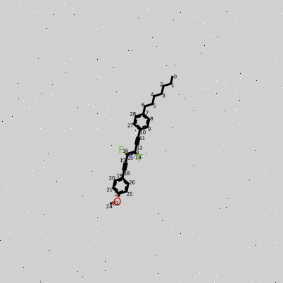 CCCCCCCc1ccc(C#C/C(F)=C(\F)C#Cc2ccc(OC)cc2)cc1